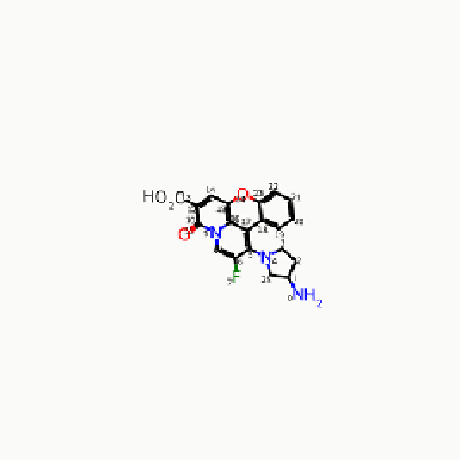 NC1CCN(c2c(F)cn3c(=O)c(C(=O)O)cc4c3c2-c2ccccc2O4)C1